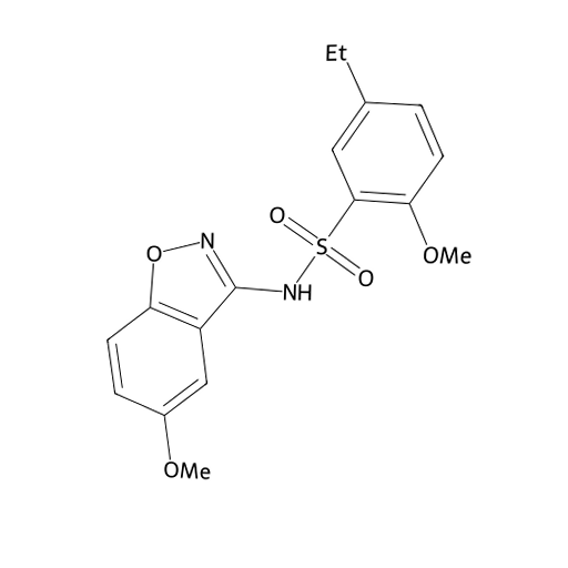 CCc1ccc(OC)c(S(=O)(=O)Nc2noc3ccc(OC)cc23)c1